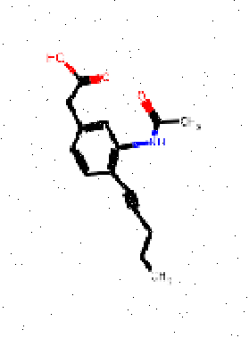 CCCC#Cc1ccc(CC(=O)O)cc1NC(C)=O